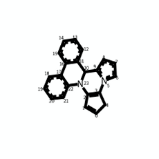 C1=CC2=C(C1)n1cccc1C1c3ccccc3-c3ccccc3N21